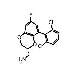 NC[C@@H]1COc2cc(F)cc(-c3c(Cl)cccc3Cl)c2O1